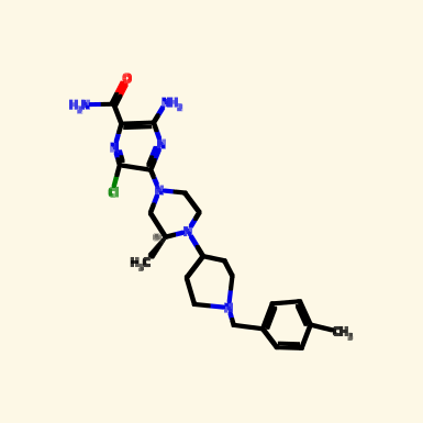 Cc1ccc(CN2CCC(N3CCN(c4nc(N)c(C(N)=O)nc4Cl)C[C@@H]3C)CC2)cc1